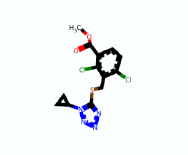 COC(=O)c1ccc(Cl)c(CSc2nnnn2C2CC2)c1Cl